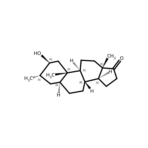 C[C@H]1C[C@@H]2CC[C@@H]3[C@H](CC[C@]4(C)C(=O)CC[C@@H]34)[C@@]2(C)C[C@@H]1O